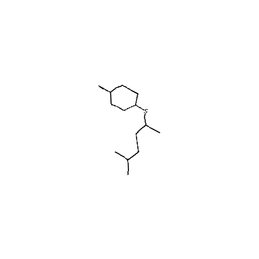 CC(C)CCC(C)SC1CCC(C)CC1